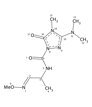 CON=CC(C)NC(=O)n1nc(N(C)C)n(C)c1=O